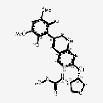 COc1cc(OC)c(Cl)c(C2=Cc3cnc(N[C@@H]4COC[C@@H]4NC(=O)OC(C)(C)C)nc3NC2)c1Cl